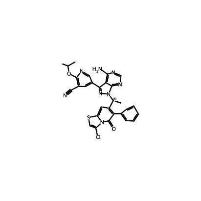 CC(C)Oc1ncc(-c2nn([C@@H](C)c3cc4scc(Cl)n4c(=O)c3-c3ccccc3)c3ncnc(N)c23)cc1C#N